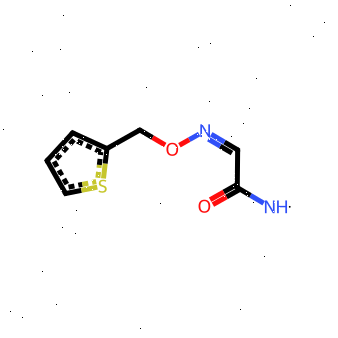 [NH]C(=O)/C=N\OCc1cccs1